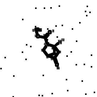 CC(C)(C)OC(=O)N1CC2C[C@H]1CC2=O